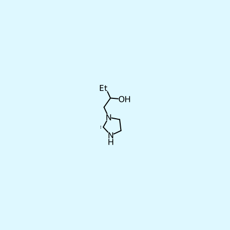 CCC(O)CN1[C]NCC1